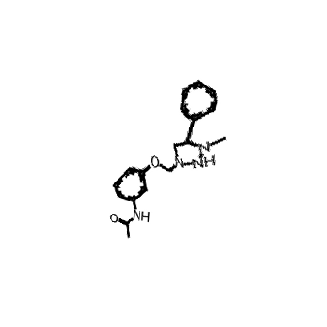 CC(=O)Nc1cccc(OCN2CC(c3ccccc3)N(C)N2)c1